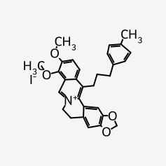 COc1ccc2c(CCCc3ccc(C)cc3)c3[n+](cc2c1OC)CCc1cc2c(cc1-3)OCO2.[I-]